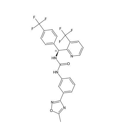 Cc1nc(-c2cccc(NC(=O)N[C@@H](c3ccc(C(F)(F)F)cc3)c3ncccc3C(F)(F)F)c2)no1